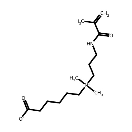 C=C(C)C(=O)NCCC[N+](C)(C)CCCCCC(=O)[O-]